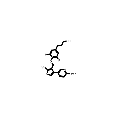 COc1ccc(-c2csc(C(F)(F)F)c2COc2c(F)cc(CCCO)cc2F)cn1